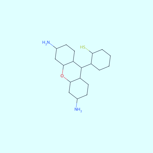 NC1CCC2C(C1)OC1CC(N)CCC1C2C1CCCCC1S